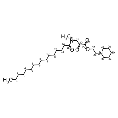 CCCCCCCCCCCCCCCC(=O)N(C)CC(=O)C(=O)OCCN1CCCCC1